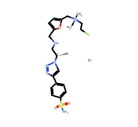 CC(C)[C@@H](CNCc1ccc(C[N+](C)(C)CCF)o1)n1cc(-c2ccc(S(N)(=O)=O)cc2)nn1.[Br-]